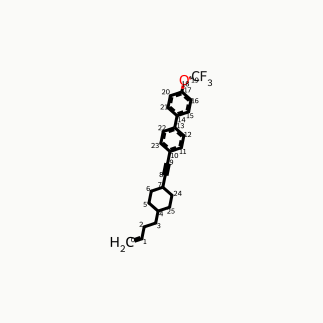 C=CCCC1CCC(C#Cc2ccc(-c3ccc(OC(F)(F)F)cc3)cc2)CC1